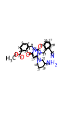 COC(=O)c1cccc(Cn2c(=O)cc(N3CCCC(N)C3)n(Cc3ccccc3C#N)c2=O)c1